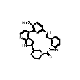 COc1ccc(NCc2ccccc2)nc1-c1ccnc2[nH]c(C3CCCN(C(=O)OC(C)(C)C)C3)cc12